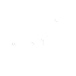 C=CCOC(=O)N(CC(=O)OC)C(=O)Nc1ccc(C(C)=NO)cc1